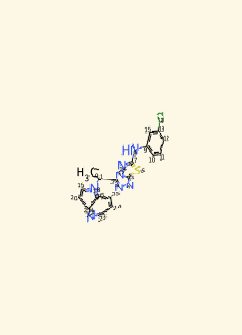 CC(c1nnc2sc(Nc3cccc(Cl)c3)nn12)n1ccc2ncccc21